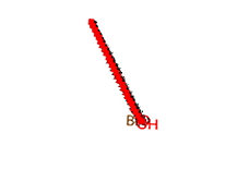 CCCCCCCCCCCCCCCCCCCCCCCCCCCCCCCCCCCCCCCCCCCCCCCCCCC(Br)C(=O)O